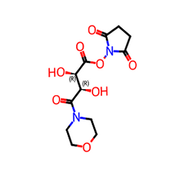 O=C(ON1C(=O)CCC1=O)[C@H](O)[C@@H](O)C(=O)N1CCOCC1